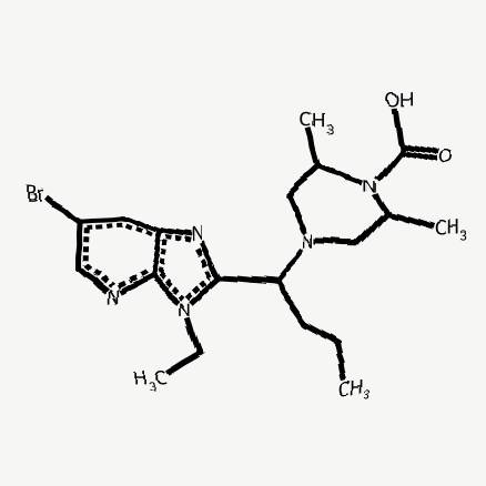 CCCC(c1nc2cc(Br)cnc2n1CC)N1CC(C)N(C(=O)O)C(C)C1